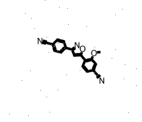 COc1cc(C#N)ccc1-c1cc(-c2ccc(C#N)cc2)no1